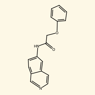 O=C(COc1ccccc1)Nc1ccc2cnccc2c1